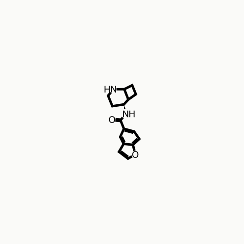 O=C(N[C@@H]1CCNC2CCC21)c1ccc2occc2c1